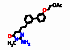 CC(=O)OCCOc1cccc(-c2cccc(CCc3cc(=O)n(C)c(N)n3)c2)c1